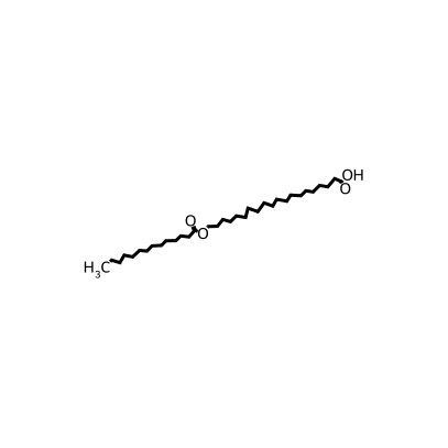 CCCCCCCCCCCCCC(=O)OCCCCCCCCCCCCCCCCCCCC(=O)O